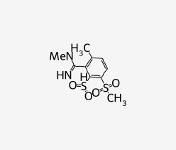 CNC(=N)c1c(C)ccc(S(C)(=O)=O)c1[SH](=O)=O